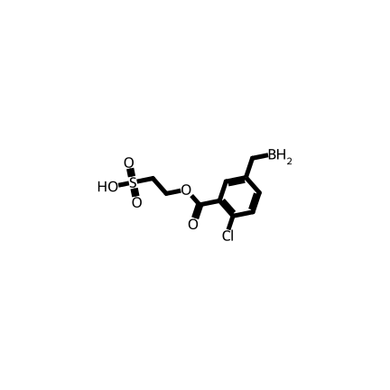 BCc1ccc(Cl)c(C(=O)OCCS(=O)(=O)O)c1